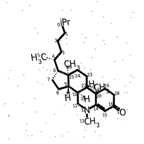 CC(C)CCC[C@@H](C)[C@H]1CC[C@H]2[C@@H]3CN(C)C4=CC(=O)CC[C@]4(C)[C@H]3CC[C@]12C